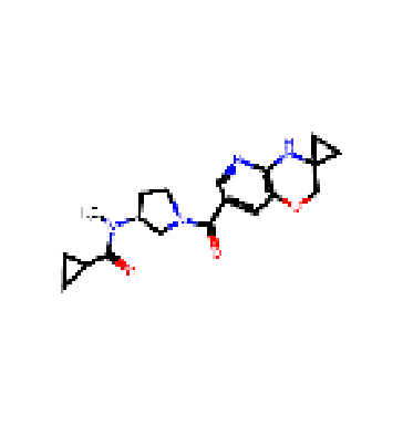 CN(C(=O)C1CC1)[C@H]1CCN(C(=O)c2cnc3c(c2)OCC2(CC2)N3)C1